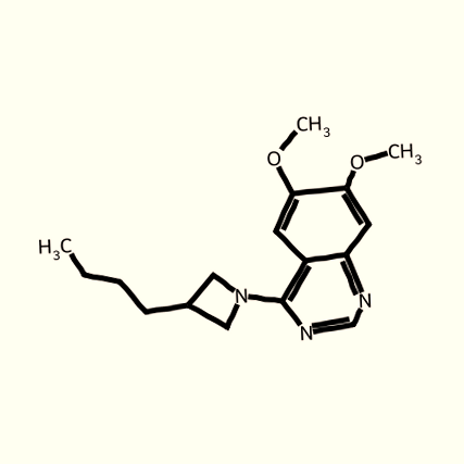 CCCCC1CN(c2ncnc3cc(OC)c(OC)cc23)C1